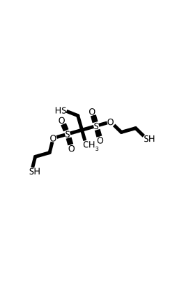 CC(CS)(S(=O)(=O)OCCS)S(=O)(=O)OCCS